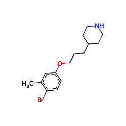 Cc1cc(OCCCC2CCNCC2)ccc1Br